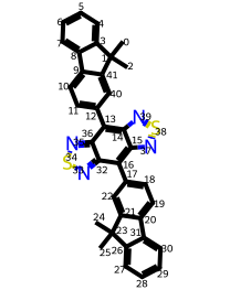 CC1(C)c2ccccc2-c2ccc(-c3c4c(c(-c5ccc6c(c5)C(C)(C)c5ccccc5-6)c5nsnc35)N=S=N4)cc21